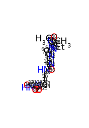 CCc1nn(-c2cccc3cc(-c4ccc(C(=O)NCCC#Cc5cccc6c5CN(C5CCC(=O)NC5=O)C6=O)nc4)ncc23)c2c1C(C)C(=O)N(C)C2